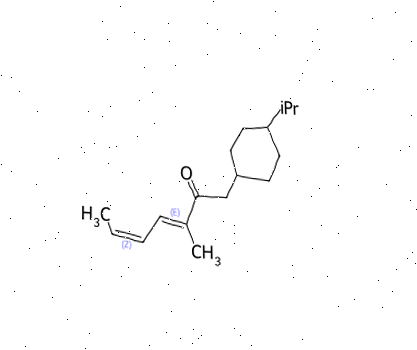 C/C=C\C=C(/C)C(=O)CC1CCC(C(C)C)CC1